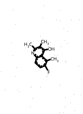 Cc1nc2ccc(F)c(C)c2c(O)c1C